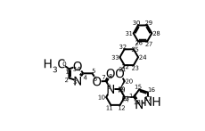 Cc1cnc(COC(=O)N2CCC[C@H](c3cc[nH]n3)[C@@H]2CO[C@H]2CC[C@@H](c3ccccc3)CC2)o1